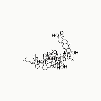 CC(C)CCC[C@@H](N)C1CCC2C3CCC4C[C@@H](OC(=O)N[C@H]5C(CO)O[C@@H](OC(=O)[C@@]6(CCC(C)(C)C)C(O)CC7(C)C(=CCC8C(CCC9C8(C)CC[C@H](O)C9(C)C=O)C7C)C6I)C(O[C@@H]6OC(C)[C@H](O[C@@H]7OC[C@@H](O)C(O)C7O)C(O)C6O)C5O)CCC4(C)C3CCC21C